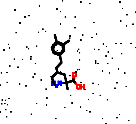 CCC(CCc1ccc(C)c(C)c1)CC(C)(N)C(=O)O